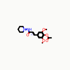 COc1cc(/C=C/C(=O)NN2CCCCC2)cc(OC)c1OC(C)=O